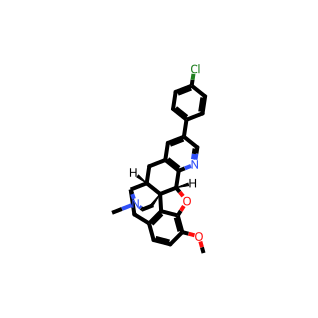 COc1ccc2c3c1O[C@H]1c4ncc(-c5ccc(Cl)cc5)cc4C[C@H]4C(C2)N(C)CC[C@]314